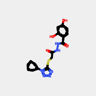 O=C(CSc1nnnn1-c1ccccc1)NNC(=O)c1ccc(O)cc1O